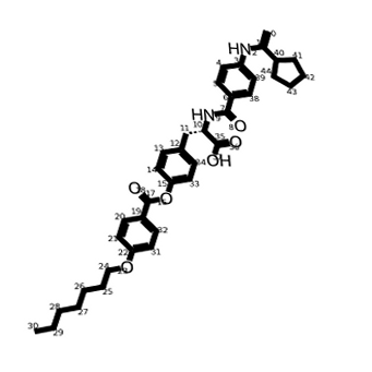 C=C(Nc1ccc(C(=O)N[C@@H](Cc2ccc(OC(=O)c3ccc(OCCCCCCC)cc3)cc2)C(=O)O)cc1)C1CCCC1